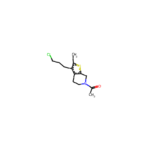 CC(=O)N1CCc2c(sc(C)c2CCCCl)C1